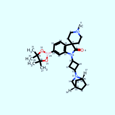 CC(=O)N1CCC2(CC1)C(=O)N(C1CC(N3C[C@H]4CC[C@@H]3C4)C1)c1cc(B3OC(C)(C)C(C)(C)O3)ccc12